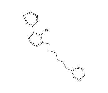 Brc1c(CCCCCCc2ccccc2)cccc1-c1ccccc1